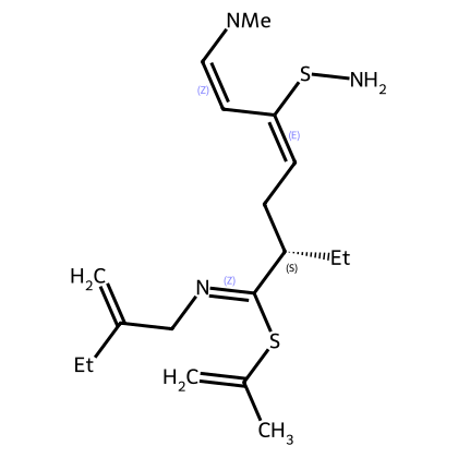 C=C(CC)C/N=C(\SC(=C)C)[C@@H](CC)C/C=C(\C=C/NC)SN